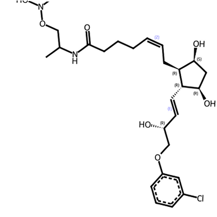 CC(CON(O)O)NC(=O)CCC/C=C\C[C@@H]1[C@@H](/C=C/[C@@H](O)COc2cccc(Cl)c2)[C@H](O)C[C@@H]1O